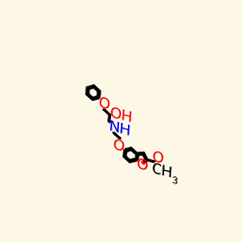 CC(=O)c1cc2cc(OCCNC[C@H](O)COc3ccccc3)ccc2o1